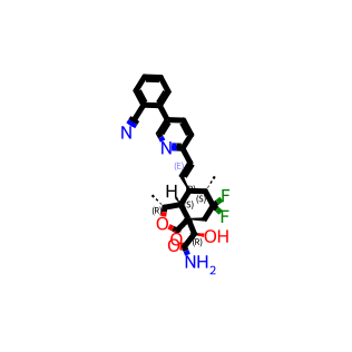 C[C@H]1OC(=O)[C@]2([C@@H](O)C(N)=O)CC(F)(F)[C@@H](C)[C@H](/C=C/c3ccc(-c4ccccc4C#N)cn3)[C@H]12